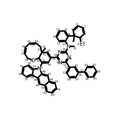 CCC1C=CC=CC1(C)c1ccccc1N(C)c1nc(C2=CC3(C)C/C=C\C=C/COC3C(n3c4ccccc4c4cc5ccccc5cc43)=C2)nc(-c2cccc(-c3ccccc3)c2)n1